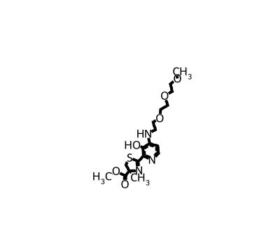 COCCOCCOCCNc1ccnc(C2=N[C@@](C)(C(=O)OC)CS2)c1O